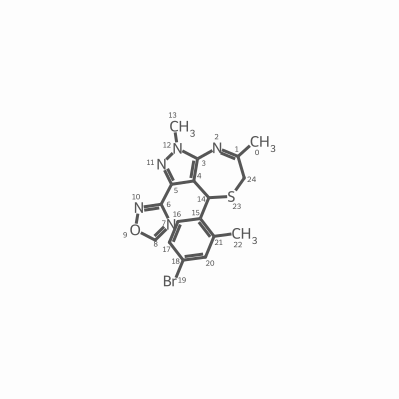 CC1=Nc2c(c(-c3ncon3)nn2C)C(c2ccc(Br)cc2C)SC1